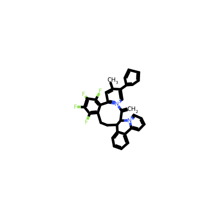 C=C1C2C(CCc3c(F)c(F)c(F)c(F)c3-c3cc(C)c(-c4ccccc4)c[n+]31)c1ccccc1-c1cccc[n+]12